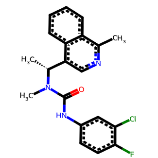 Cc1ncc([C@@H](C)N(C)C(=O)Nc2ccc(F)c(Cl)c2)c2ccccc12